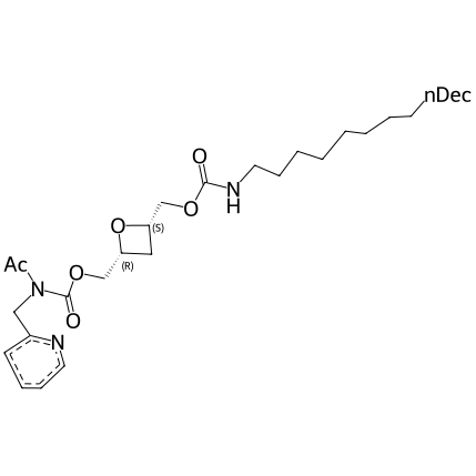 CCCCCCCCCCCCCCCCCCNC(=O)OC[C@@H]1C[C@H](COC(=O)N(Cc2ccccn2)C(C)=O)O1